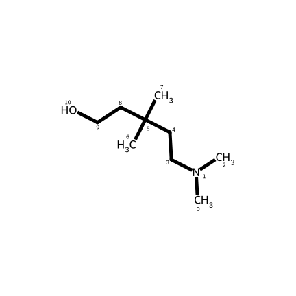 CN(C)CCC(C)(C)CCO